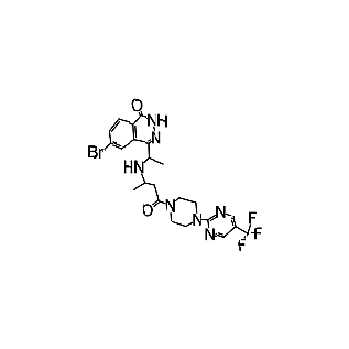 CC(CC(=O)N1CCN(c2ncc(C(F)(F)F)cn2)CC1)NC(C)c1n[nH]c(=O)c2ccc(Br)cc12